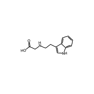 O=C(O)CNCCc1c[nH]c2ccccc12